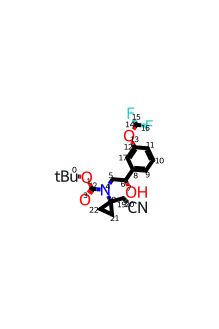 CC(C)(C)OC(=O)N(CC(O)c1cccc(OC(F)F)c1)C1(CC#N)CC1